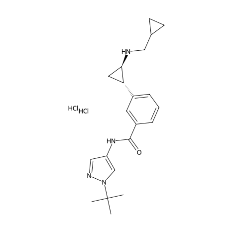 CC(C)(C)n1cc(NC(=O)c2cccc([C@@H]3C[C@H]3NCC3CC3)c2)cn1.Cl.Cl